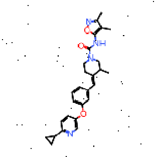 Cc1noc(NC(=O)N2CCC(=Cc3cccc(Oc4ccc(C5CC5)nc4)c3)C(C)C2)c1C